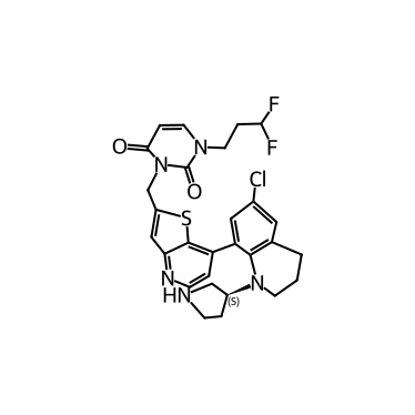 O=c1ccn(CCC(F)F)c(=O)n1Cc1cc2nccc(-c3cc(Cl)cc4c3N([C@H]3CCNC3)CCC4)c2s1